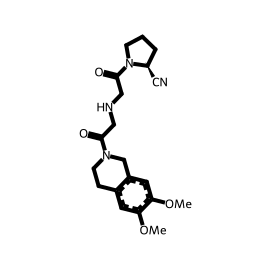 COc1cc2c(cc1OC)CN(C(=O)CNCC(=O)N1CCC[C@H]1C#N)CC2